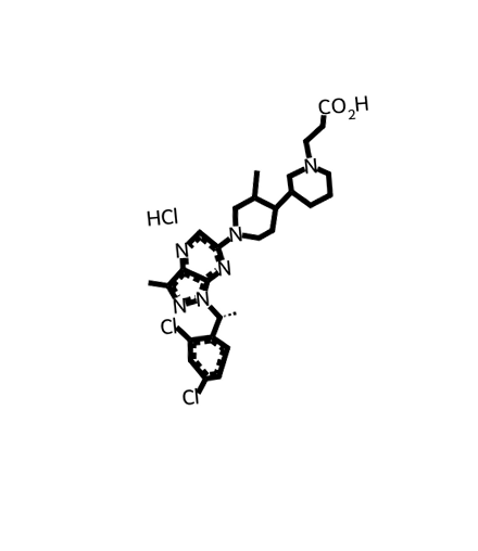 Cc1nn([C@H](C)c2ccc(Cl)cc2Cl)c2nc(N3CCC(C4CCCN(CCC(=O)O)C4)C(C)C3)cnc12.Cl